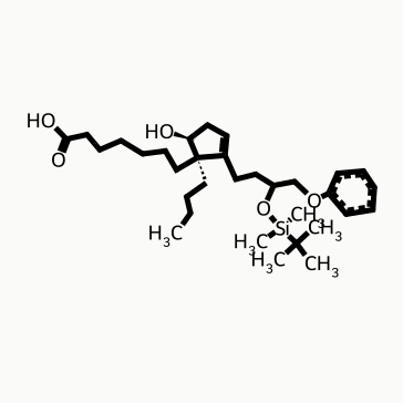 CCCC[C@@]1(CCCCCCC(=O)O)C(CCC(COc2ccccc2)O[Si](C)(C)C(C)(C)C)=CC[C@@H]1O